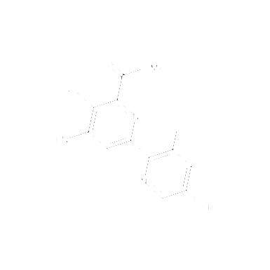 COC(=O)c1nc(-c2ncc(C)cc2F)cc(N)c1Cl